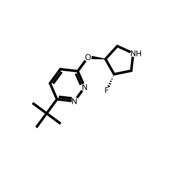 CC(C)(C)c1ccc(O[C@H]2CNC[C@@H]2F)nn1